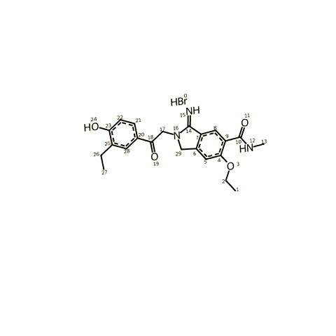 Br.CCOc1cc2c(cc1C(=O)NC)C(=N)N(CC(=O)c1ccc(O)c(CC)c1)C2